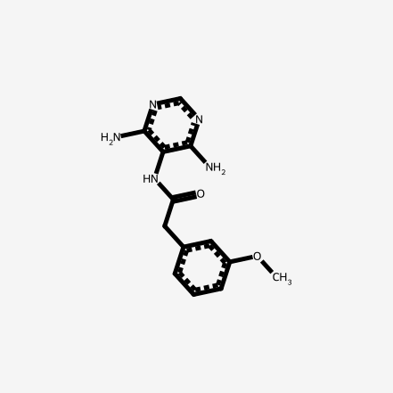 COc1cccc(CC(=O)Nc2c(N)ncnc2N)c1